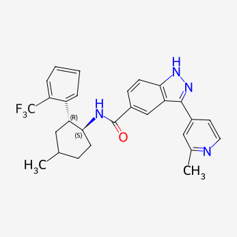 Cc1cc(-c2n[nH]c3ccc(C(=O)N[C@H]4CCC(C)C[C@@H]4c4ccccc4C(F)(F)F)cc23)ccn1